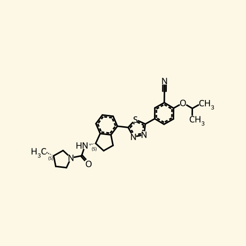 CC(C)Oc1ccc(-c2nnc(-c3cccc4c3CC[C@@H]4NC(=O)N3CC[C@H](C)C3)s2)cc1C#N